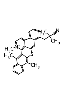 Cc1c2c(c(C)c3ccccc13)-c1c3c(cc4c(CC(C)(C)C#N)cccc4c3cc[n+]1C)S2